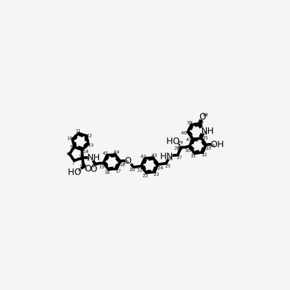 O=C(NC1(C(=O)O)CCc2ccccc21)c1ccc(OCc2ccc(CNC[C@H](O)c3ccc(O)c4[nH]c(=O)ccc34)cc2)cc1